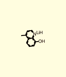 Cc1ccnc2c(O)cccc12.[LiH]